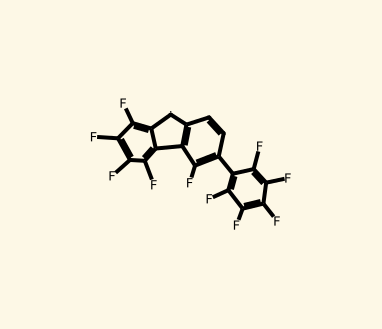 Fc1c(F)c(F)c(-c2ccc3c(c2F)-c2c(F)c(F)c(F)c(F)c2[CH]3)c(F)c1F